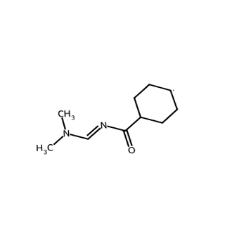 CN(C)C=NC(=O)C1CC[CH]CC1